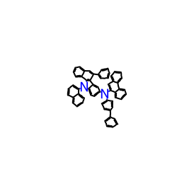 c1ccc(-c2ccc(N(c3ccc4c(c3)c3c(-c5ccccc5)cc5ccccc5c3n4-c3cccc4ccccc34)c3cc4ccccc4c4ccccc34)cc2)cc1